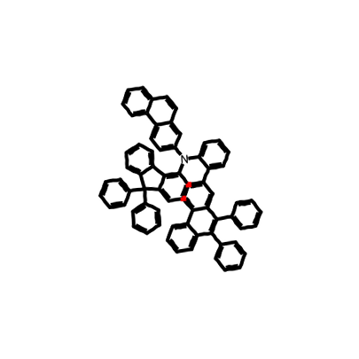 c1ccc(-c2c(-c3ccccc3)c3cc(-c4ccccc4N(c4ccc5c(ccc6ccccc65)c4)c4cccc5c4-c4ccccc4C5(c4ccccc4)c4ccccc4)ccc3c3ccccc23)cc1